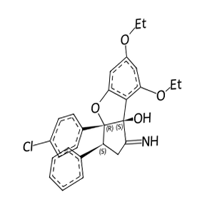 CCOc1cc(OCC)c2c(c1)O[C@@]1(c3ccc(Cl)cc3)[C@H](c3ccccc3)CC(=N)[C@@]21O